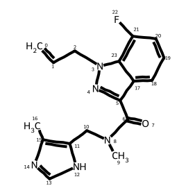 C=CCn1nc(C(=O)N(C)Cc2[nH]cnc2C)c2cccc(F)c21